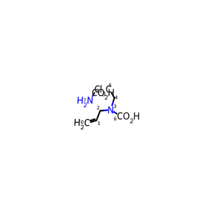 C=CCN(CC(Cl)(Cl)Cl)C(=O)O.NC(=O)O